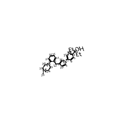 CCC(O)(CC)c1ccc(-n2ccc(Cc3ccccc3N3CCN(C)CC3)c2)cn1